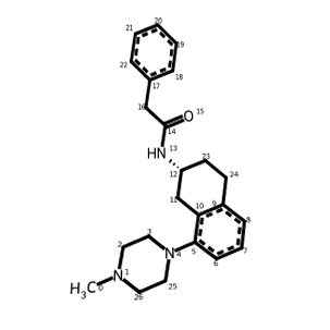 CN1CCN(c2cccc3c2C[C@H](NC(=O)Cc2ccccc2)CC3)CC1